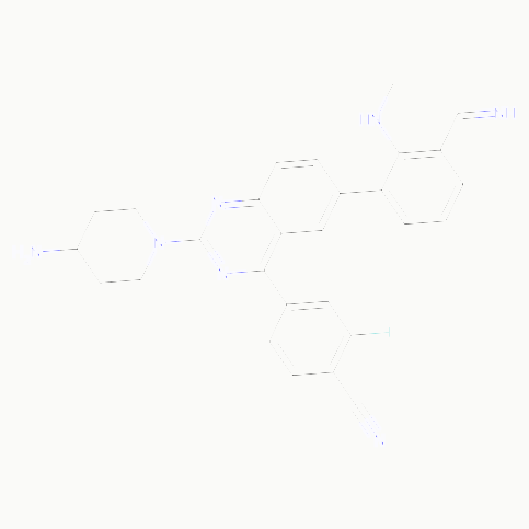 CNc1c(C=N)cccc1-c1ccc2nc(N3CCC(N)CC3)nc(-c3ccc(C#N)c(F)c3)c2c1